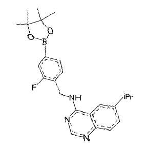 CC(C)c1ccc2ncnc(NCc3ccc(B4OC(C)(C)C(C)(C)O4)cc3F)c2c1